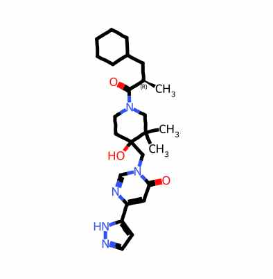 C[C@H](CC1CCCCC1)C(=O)N1CCC(O)(Cn2cnc(-c3ccn[nH]3)cc2=O)C(C)(C)C1